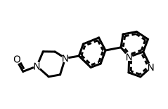 O=CN1CCN(c2ccc(-c3cccc4nccn34)cc2)CC1